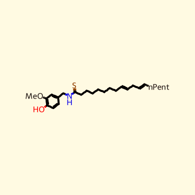 CCCCC/C=C/C/C=C/CCCCCCCC(=S)NCc1ccc(O)c(OC)c1